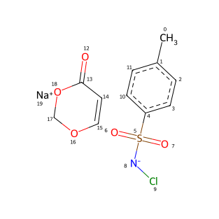 Cc1ccc(S(=O)(=O)[N-]Cl)cc1.O=C1C=COCO1.[Na+]